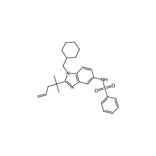 C=CCC(C)(C)c1nc2cc(NS(=O)(=O)c3ccccc3)ccc2n1CC1CCCCC1